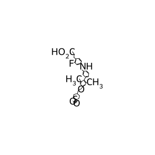 Cc1cc(OCC2CCS(=O)(=O)CC2)cc(C)c1-c1cccc(CNc2ccc(CCC(=O)O)c(F)c2)c1